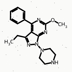 CCc1nn(N2CCNCC2)c2nc(OC)nc(-c3ccccc3)c12